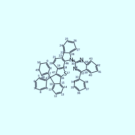 C1=CC(C2(c3ccccc3)c3ccccc3-c3sc4c(ccc5c6ccccc6n(-c6nc(-c7ccccc7)c7ccccc7n6)c54)c32)=CCC1